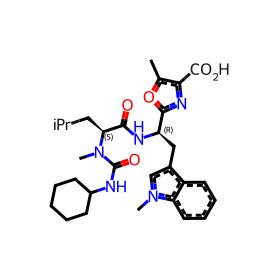 Cc1oc([C@@H](Cc2cn(C)c3ccccc23)NC(=O)[C@H](CC(C)C)N(C)C(=O)NC2CCCCC2)nc1C(=O)O